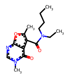 CCCCN(CC)C(=O)c1c(C)oc2ncn(C)c(=O)c12